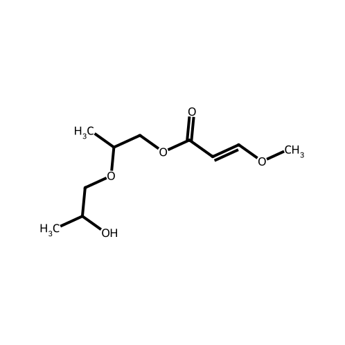 COC=CC(=O)OCC(C)OCC(C)O